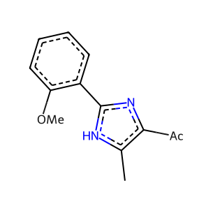 COc1ccccc1-c1nc(C(C)=O)c(C)[nH]1